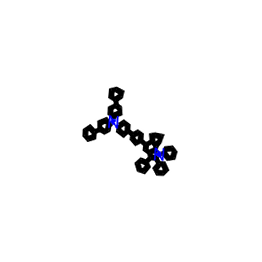 c1ccc(-c2ccc(N(c3ccc(-c4ccccc4)cc3)c3ccc(-c4ccc(-c5cc6c(-c7ccccc7)c(-c7ccccc7)n(-c7ccccc7)c6c6ccccc56)cc4)cc3)cc2)cc1